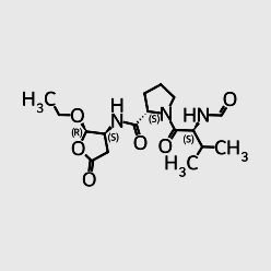 CCO[C@@H]1OC(=O)C[C@@H]1NC(=O)[C@@H]1CCCN1C(=O)[C@@H](NC=O)C(C)C